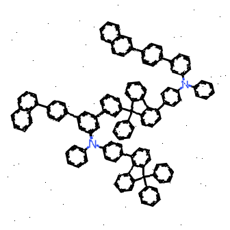 c1ccc(N(c2ccc(-c3cccc4c3-c3ccccc3C4(c3ccccc3)c3cccc(-c4cc(-c5ccc(-c6cccc7ccccc67)cc5)cc(N(c5ccccc5)c5ccc(-c6cccc7c6-c6ccccc6C7(c6ccccc6)c6ccccc6)cc5)c4)c3)cc2)c2cccc(-c3ccc(-c4ccc5ccccc5c4)cc3)c2)cc1